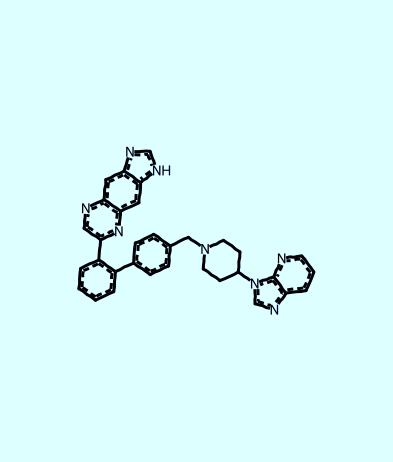 c1ccc(-c2cnc3cc4nc[nH]c4cc3n2)c(-c2ccc(CN3CCC(n4cnc5cccnc54)CC3)cc2)c1